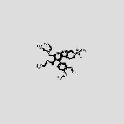 CCOC(=O)c1c(CN(CC)CC)nc2sc3c(c2c1-c1ccc(OC)c(OC)c1)CCN(S(C)(=O)=O)C3